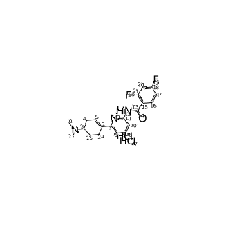 CN(C)C1CC=C(c2cccc(NC(=O)c3ccc(F)cc3F)n2)CC1.Cl.Cl